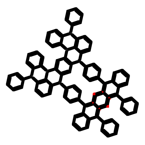 c1ccc(-c2c3ccccc3c(-c3ccc(N4c5cc6c(cc5B5c7ccccc7N(c7ccccc7)c7cccc4c75)B4c5ccccc5N(c5ccccc5)c5cccc(c54)N6c4ccc(-c5c6ccccc6c(-c6ccccc6)c6ccccc56)cc4)cc3)c3ccccc23)cc1